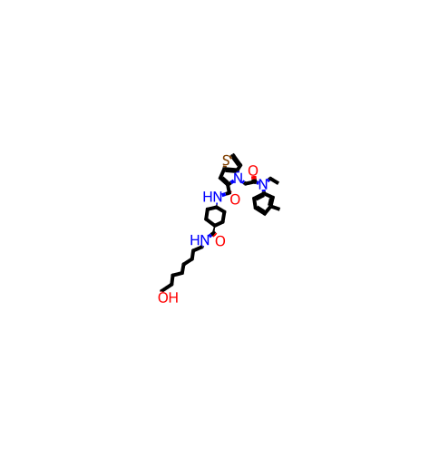 CCN(C(=O)Cn1c(C(=O)N[C@H]2CC[C@H](C(=O)NCCCCCCCCO)CC2)cc2sccc21)c1cccc(C)c1